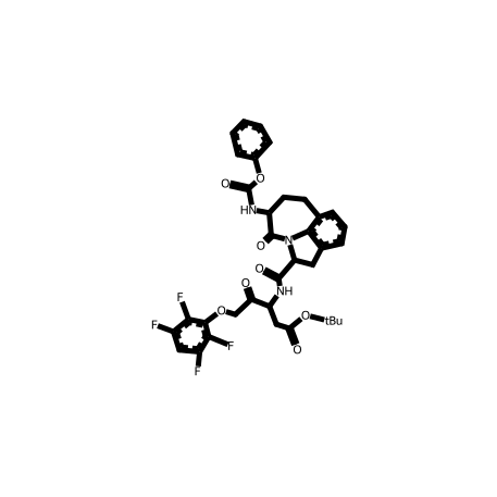 CC(C)(C)OC(=O)CC(NC(=O)C1Cc2cccc3c2N1C(=O)C(NC(=O)Oc1ccccc1)CC3)C(=O)COc1c(F)c(F)cc(F)c1F